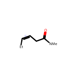 CC/C=C\CC(=O)NC